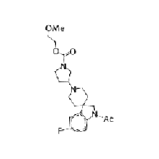 COCCOC(=O)N1CCC(N2CCC3(CC2)CN(C(C)=O)c2ccc(F)cc23)C1